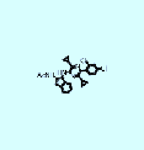 CC(=O)N[C@@H]1Cc2ccccc2[C@@H]1Nc1nc(C2CC2)c(-c2ccc(Cl)cc2Cl)nc1C1CC1